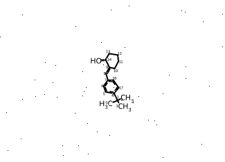 CC(C)(C)c1ccc(/C=C2\CCCCC2O)cc1